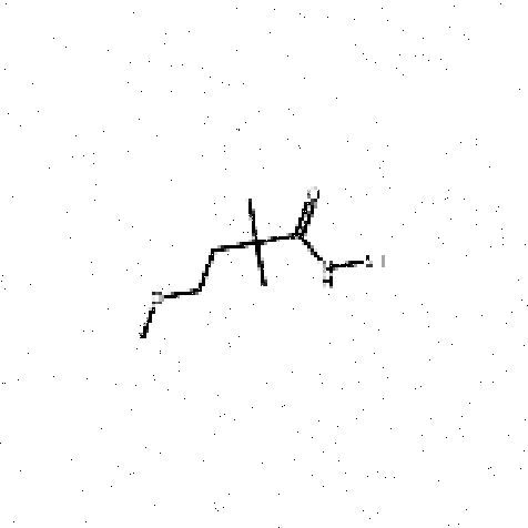 COCCC(C)(C)C(=O)NS